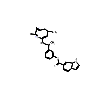 CC1\C=C(N[C@@H](C)c2cccc(NC(=O)C3=CC4NC=CC4C=C3)c2)/N=C(Cl)\C=C\C1